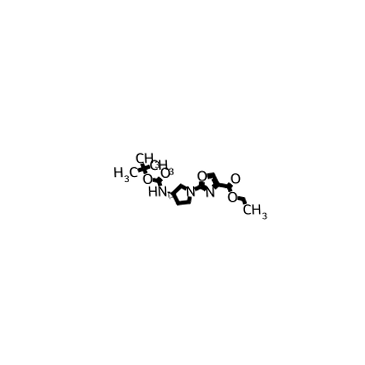 CCOC(=O)c1coc(N2CC[C@H](NC(=O)OC(C)(C)C)C2)n1